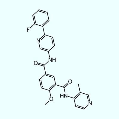 COc1ccc(C(=O)Nc2ccc(-c3ccccc3F)nc2)cc1C(=O)Nc1ccncc1C